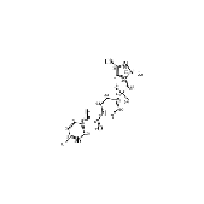 Cc1ccc(NC(=O)N2CCC(C(C)(C)Sc3cc(Cl)nn3C)CC2)cn1